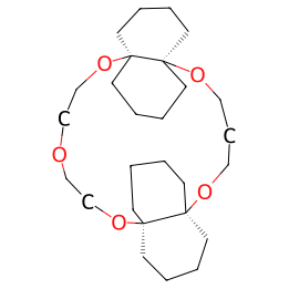 C1CO[C@]23CCCC[C@]2(CCCC3)OCCOCCO[C@]23CCCC[C@]2(CCCC3)OC1